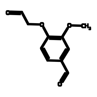 COc1cc(C=O)ccc1OCC=O